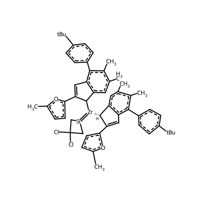 Cc1ccc(C2=Cc3c(cc(C)c(C)c3-c3ccc(C(C)(C)C)cc3)[CH]2[Zr]([C@H]2C(c3ccc(C)o3)=Cc3c2cc(C)c(C)c3-c2ccc(C(C)(C)C)cc2)=[Si]2CC(Cl)(Cl)C2)o1